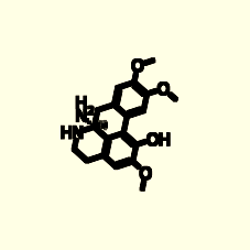 COc1cc2c(cc1OC)-c1c(O)c(OC)cc3c1[C@](N)(C2)NCC3